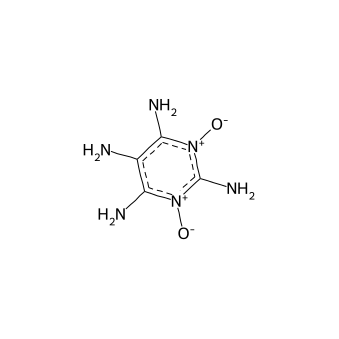 Nc1c(N)[n+]([O-])c(N)[n+]([O-])c1N